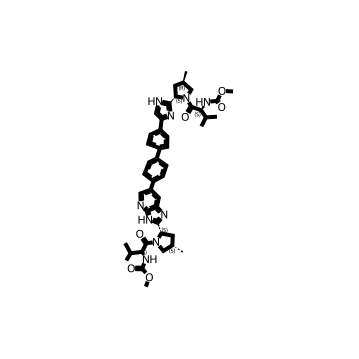 COC(=O)N[C@H](C(=O)N1C[C@H](C)C[C@H]1c1nc(-c2ccc(-c3ccc(-c4cnc5[nH]c([C@@H]6C[C@H](C)CN6C(=O)[C@@H](NC(=O)OC)C(C)C)nc5c4)cc3)cc2)c[nH]1)C(C)C